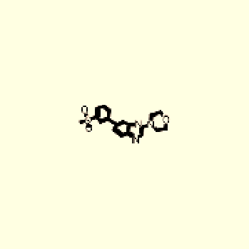 CS(=O)(=O)c1cccc(-c2ccc3ncc(N4CCOCC4)nc3c2)c1